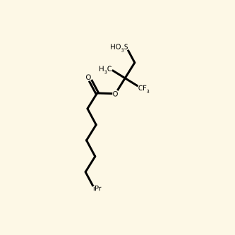 CC(C)CCCCCC(=O)OC(C)(CS(=O)(=O)O)C(F)(F)F